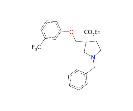 CCOC(=O)C1(COc2cccc(C(F)(F)F)c2)CCN(Cc2ccccc2)C1